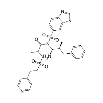 CC(CS(=O)(=O)CCc1ccncc1)C(=O)N([C@H](N)[C@@H](C)Cc1ccccc1)S(=O)(=O)c1ccc2ncsc2c1